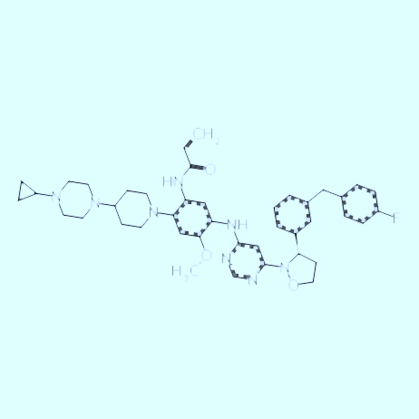 C=CC(=O)Nc1cc(Nc2cc(N3OCC[C@@H]3c3cccc(Cc4ccc(F)cc4)c3)ncn2)c(OC)cc1N1CCC(N2CCN(C3CC3)CC2)CC1